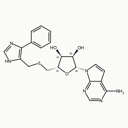 Nc1ncnc2c1ccn2[C@@H]1O[C@H](CSCc2[nH]cnc2-c2ccccc2)[C@@H](O)[C@H]1O